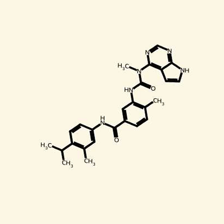 Cc1ccc(C(=O)Nc2ccc(C(C)C)c(C)c2)cc1NC(=O)N(C)c1ncnc2[nH]ccc12